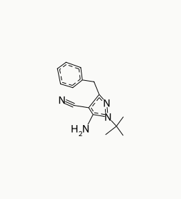 CC(C)(C)n1nc(Cc2ccccc2)c(C#N)c1N